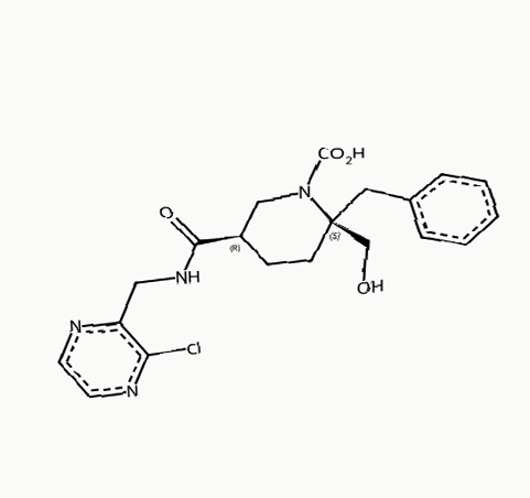 O=C(NCc1nccnc1Cl)[C@@H]1CC[C@@](CO)(Cc2ccccc2)N(C(=O)O)C1